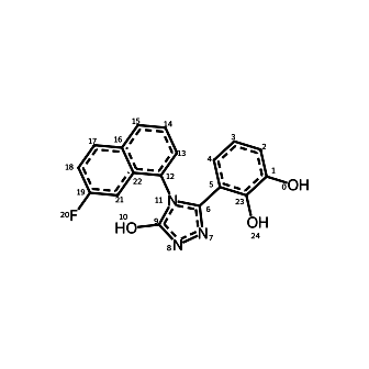 Oc1cccc(-c2nnc(O)n2-c2cccc3ccc(F)cc23)c1O